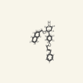 C(=C\c1ccccc1)/COc1ccc(C2CCNCC2OCc2ccc3ccccc3c2)cc1